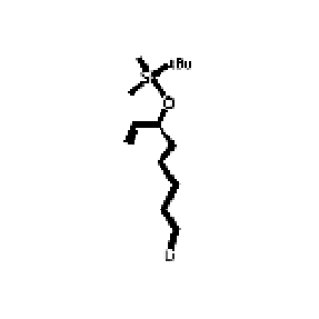 [Li][CH2]CCCC[C@@H](C=C)O[Si](C)(C)C(C)(C)C